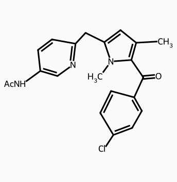 CC(=O)Nc1ccc(Cc2cc(C)c(C(=O)c3ccc(Cl)cc3)n2C)nc1